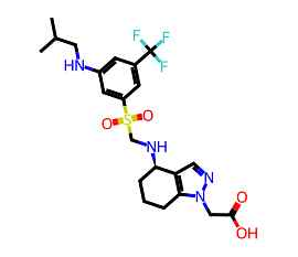 CC(C)CNc1cc(C(F)(F)F)cc(S(=O)(=O)CN[C@@H]2CCCc3c2cnn3CC(=O)O)c1